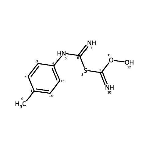 Cc1ccc(NC(=N)SC(=N)OO)cc1